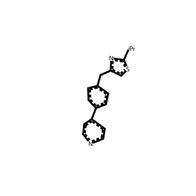 CC(C)c1nc(Cc2ccc(-c3ccncc3)cc2)cs1